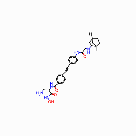 NC[C@H](NC(=O)c1ccc(C#Cc2ccc(NC(=O)CNC3C[C@H]4CC[C@@H]3C4)cc2)cc1)C(=O)NO